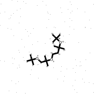 CC(C)(C)OCC(C)(C)OCCC(C)(C)OC(C)(C)C